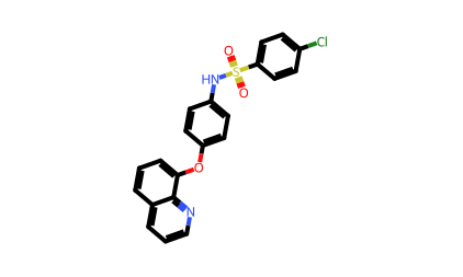 O=S(=O)(Nc1ccc(Oc2cccc3cccnc23)cc1)c1ccc(Cl)cc1